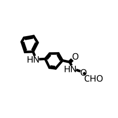 O=CONC(=O)c1ccc(Nc2ccccc2)cc1